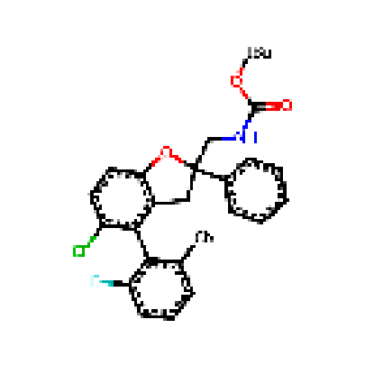 CC(C)(C)OC(=O)NCC1(c2ccccc2)Cc2c(ccc(Cl)c2-c2c(F)cccc2C#N)O1